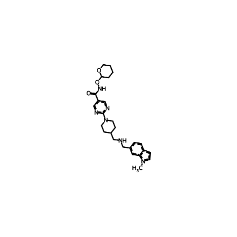 Cn1ccc2ccc(CNCC3CCN(c4ncc(C(=O)NOC5CCCCO5)cn4)CC3)cc21